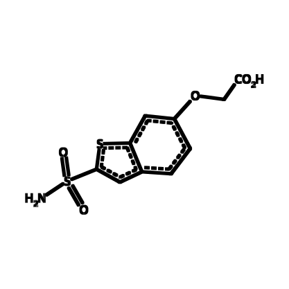 NS(=O)(=O)c1cc2ccc(OCC(=O)O)cc2s1